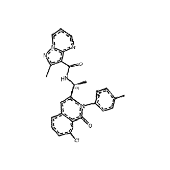 Cc1ccc(-n2c([C@H](C)NC(=O)c3c(C)nn4cccnc34)cc3cccc(Cl)c3c2=O)cc1